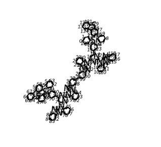 c1ccc([Si](c2ccccc2)(c2ccc(-c3cc(-n4c5ccccc5n5c6cc(-c7ccc8nc9n(-c%10nc(-c%11ccc([Si](c%12ccccc%12)(c%12ccccc%12)c%12cccc%13c%12sc%12ccccc%12%13)cc%11)cc(-n%11c%12ccccc%12n%12c%13ccccc%13nc%11%12)n%10)c%10ccccc%10n9c8c7)ccc6nc45)nc(-n4c5ccccc5n5c6ccccc6nc45)n3)cc2)c2ccc3sc4ccccc4c3c2)cc1